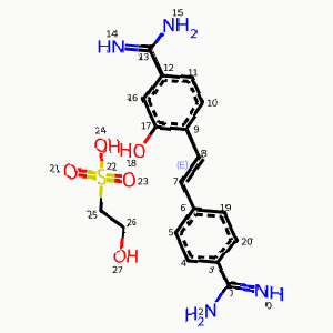 N=C(N)c1ccc(/C=C/c2ccc(C(=N)N)cc2O)cc1.O=S(=O)(O)CCO